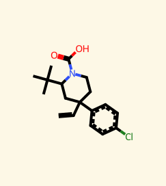 C=CC1(c2ccc(Cl)cc2)CCN(C(=O)O)C(C(C)(C)C)C1